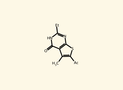 CCc1nc2sc(C(C)=O)c(C)c2c(=O)[nH]1